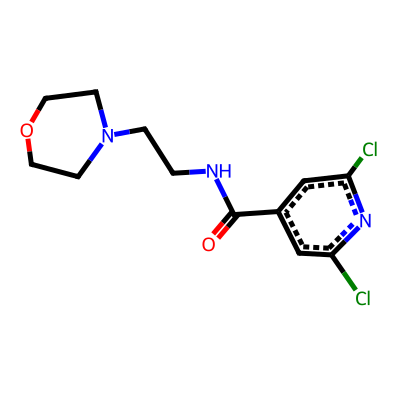 O=C(NCCN1CCOCC1)c1cc(Cl)nc(Cl)c1